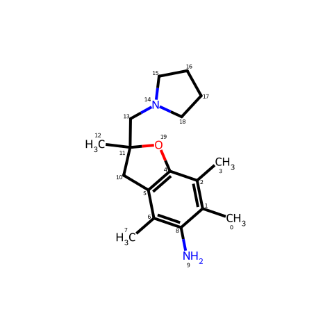 Cc1c(C)c2c(c(C)c1N)CC(C)(CN1CCCC1)O2